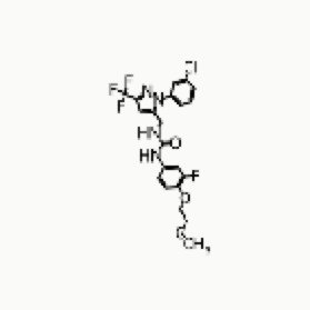 COCCOc1ccc(NC(=O)NCc2cc(C(F)(F)F)nn2-c2cccc(Cl)c2)cc1F